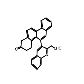 O=CCc1nc2ccccc2cc1-c1cc2ccccc2c2ccc3c(c12)CCC(=O)C3